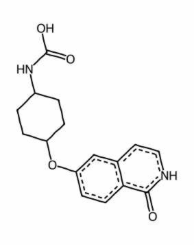 O=C(O)NC1CCC(Oc2ccc3c(=O)[nH]ccc3c2)CC1